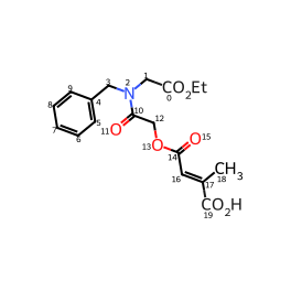 CCOC(=O)CN(Cc1ccccc1)C(=O)COC(=O)C=C(C)C(=O)O